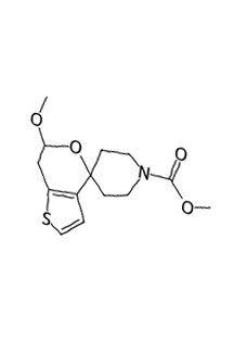 COC(=O)N1CCC2(CC1)OC(OC)Cc1sccc12